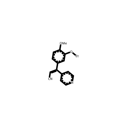 CCOc1cc(C(=CC#N)c2ccncc2)ccc1OC